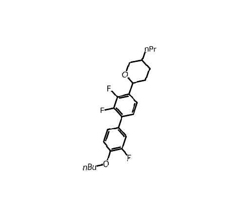 CCCCOc1ccc(-c2ccc(C3CCC(CCC)CO3)c(F)c2F)cc1F